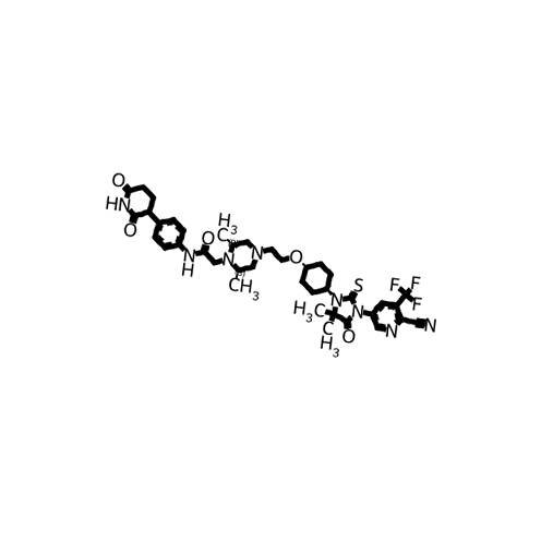 C[C@@H]1CN(CCO[C@H]2CC[C@H](N3C(=S)N(c4cnc(C#N)c(C(F)(F)F)c4)C(=O)C3(C)C)CC2)C[C@H](C)N1CC(=O)Nc1ccc(C2CCC(=O)NC2=O)cc1